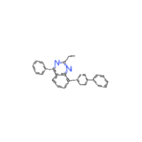 CCc1nc(-c2ccccc2)c2cccc(-c3ccc(-c4ccccc4)cc3)c2n1